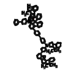 CC1(C)c2ccccc2-c2ccc(N(c3ccc(-c4ccc(-c5ccc(N(c6ccc(-c7ccccc7)cc6)c6ccc7c(c6)C(C)(C)c6ccccc6-7)c6c5-c5ccccc5C65c6ccccc6-c6ccccc65)cc4)cc3)c3ccc(-c4cccc5c4oc4c6c(ccc45)C(C)(C)c4ccccc4-6)cc3)cc21